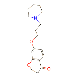 O=C1CCOc2cc(OCCCN3CCCCC3)ccc21